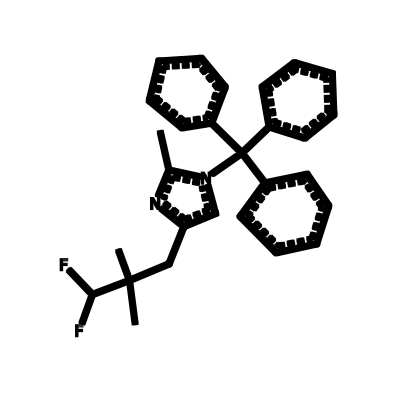 Cc1nc(CC(C)(C)C(F)F)cn1C(c1ccccc1)(c1ccccc1)c1ccccc1